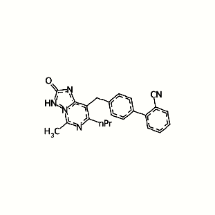 CCCc1nc(C)n2[nH]c(=O)nc2c1Cc1ccc(-c2ccccc2C#N)cc1